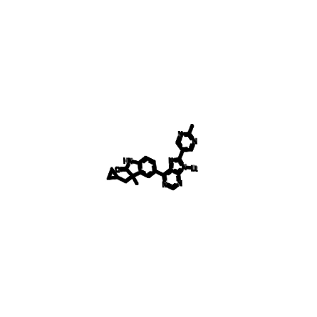 CCn1c(-c2cnc(C)nc2)nc2c(-c3ccc4c(c3)C(C)(CC3CC3)C(=O)N4)ncnc21